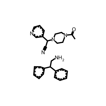 CC(=O)N1CCN(C(C#N)c2cccnc2)CC1.NCC(c1ccccc1)c1ccccc1